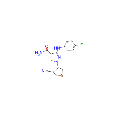 N#CC1CSCC1n1cc(C(N)=O)c(Nc2ccc(F)cc2)n1